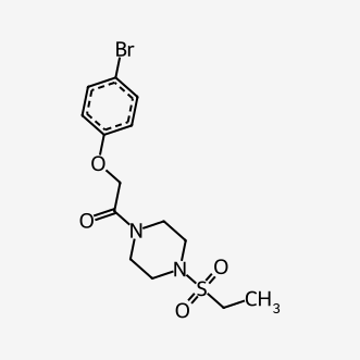 CCS(=O)(=O)N1CCN(C(=O)COc2ccc(Br)cc2)CC1